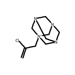 C=C(Cl)C[N+]12CN3CN(CN(C3)C1)C2